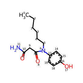 CCCCCCN(C(=O)CC(N)=O)c1ccc(O)cc1